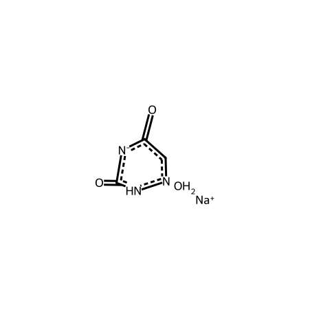 O.O=c1cn[nH]c(=O)[n-]1.[Na+]